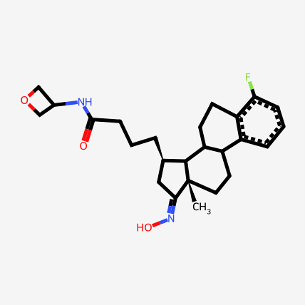 C[C@]12CCC3c4cccc(F)c4CCC3C1[C@H](CCCC(=O)NC1COC1)C/C2=N\O